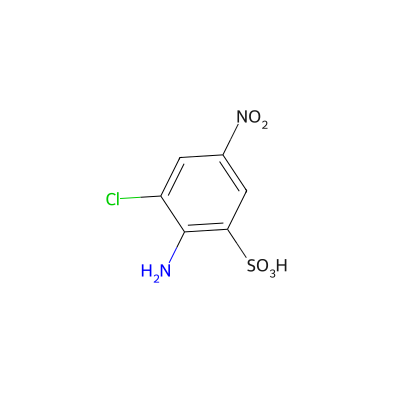 Nc1c(Cl)cc([N+](=O)[O-])cc1S(=O)(=O)O